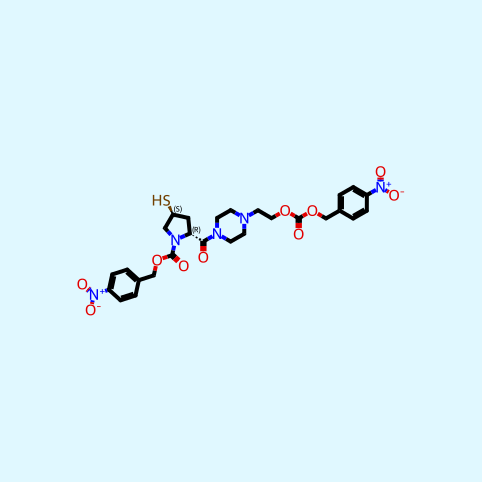 O=C(OCCN1CCN(C(=O)[C@H]2C[C@H](S)CN2C(=O)OCc2ccc([N+](=O)[O-])cc2)CC1)OCc1ccc([N+](=O)[O-])cc1